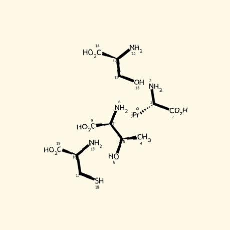 CC(C)[C@H](N)C(=O)O.C[C@@H](O)[C@H](N)C(=O)O.N[C@@H](CO)C(=O)O.N[C@@H](CS)C(=O)O